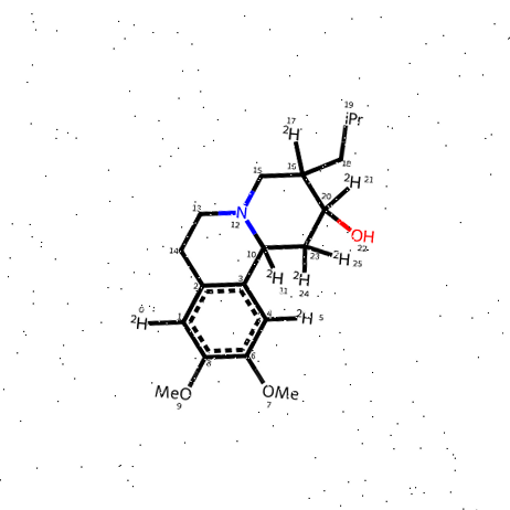 [2H]c1c2c(c([2H])c(OC)c1OC)C1([2H])N(CC2)CC([2H])(CC(C)C)C([2H])(O)C1([2H])[2H]